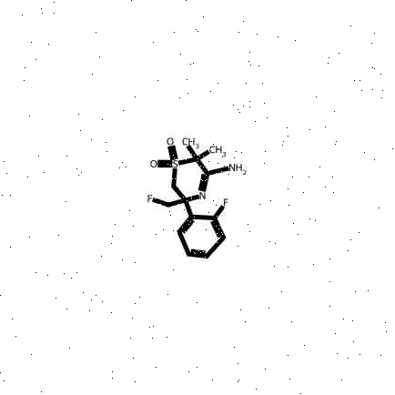 CC1(C)C(N)=NC(CF)(c2ccccc2F)CS1(=O)=O